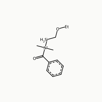 CCOC[SiH2][N+](C)(C)C(=O)c1ccccc1